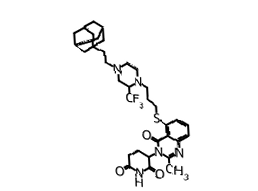 Cc1nc2cccc(SCCCN3CCN(CCC45CC6CC(CC(C6)C4)C5)CC3C(F)(F)F)c2c(=O)n1C1CCC(=O)NC1=O